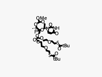 COC1OC[C@H](n2ccc(=O)[nH]c2=O)O[C@](F)(COP(=O)(OCCOCCSC(=O)C(C)(C)C)OCCOCCSC(=O)C(C)(C)C)[C@H](C)O1